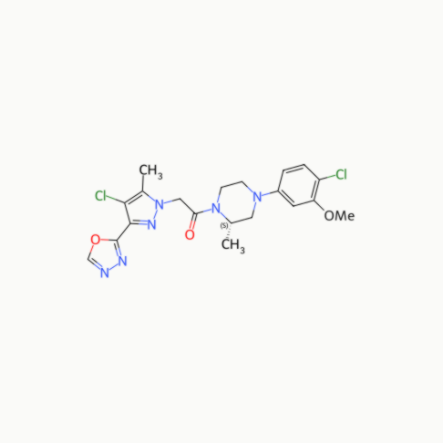 COc1cc(N2CCN(C(=O)Cn3nc(-c4nnco4)c(Cl)c3C)[C@@H](C)C2)ccc1Cl